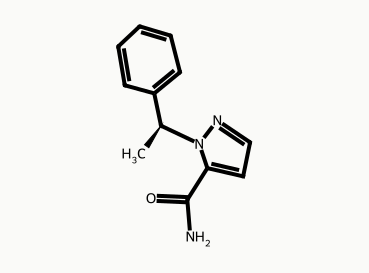 C[C@@H](c1ccccc1)n1nccc1C(N)=O